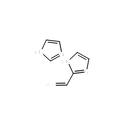 C=Cc1ncc[nH]1.c1c[nH]cn1